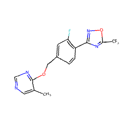 Cc1cncnc1OCc1ccc(-c2noc(C(F)(F)F)n2)c(F)c1